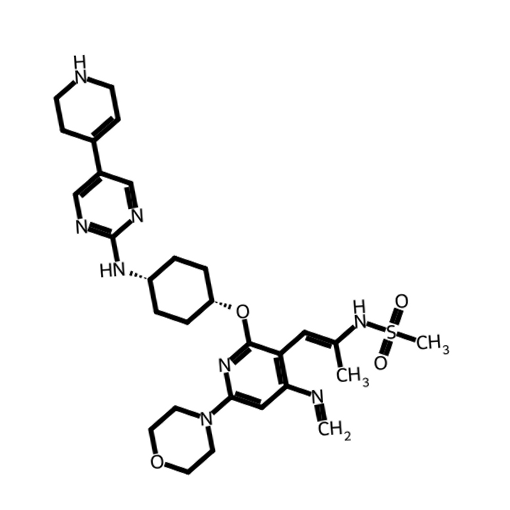 C=Nc1cc(N2CCOCC2)nc(O[C@H]2CC[C@@H](Nc3ncc(C4=CCNCC4)cn3)CC2)c1/C=C(\C)NS(C)(=O)=O